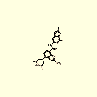 C[C@H]1CN(c2ccc(C(=O)Nc3cc(F)c4nn(C)cc4c3)c3nc(N)sc23)C[C@H](C)N1